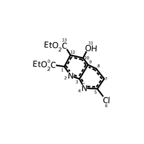 CCOC(=O)c1nc2nc(Cl)ccc2c(O)c1C(=O)OCC